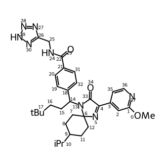 COc1cc(C2=NC3(CCC(C(C)C)CC3)N(C(CCC(C)(C)C)c3ccc(C(=O)NCc4nn[nH]n4)cc3)C2=O)ccn1